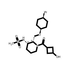 CC(C)[C@H]1CC[C@@H](OC[C@H]2[C@@H](NS(C)(=O)=O)CCCN2C(=O)C2CC(O)C2)CC1